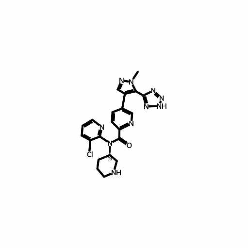 Cn1ncc(-c2ccc(C(=O)N(c3ncccc3Cl)[C@@H]3CCCNC3)nc2)c1-c1nn[nH]n1